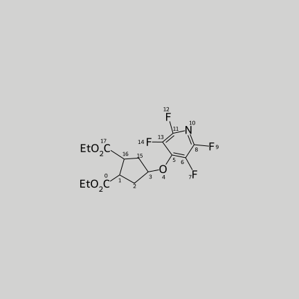 CCOC(=O)C1CC(Oc2c(F)c(F)nc(F)c2F)CC1C(=O)OCC